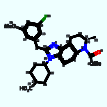 COC(=O)N1c2ccc3c(nc(Cc4cc(F)cc(OC)c4)n3[C@H]3CC[C@H](C(=O)O)CC3)c2CC[C@@H]1C